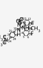 C[C@@H](c1ccccc1F)c1c(F)ccc2c1NC(NCc1ccc(CN(C)C)cc1)=NS2(=O)=O